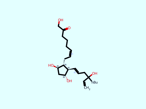 C=CC(O)(C/C=C/[C@@H]1[C@@H](C/C=C\CCCC(=O)CO)[C@H](O)C[C@H]1O)CCCC